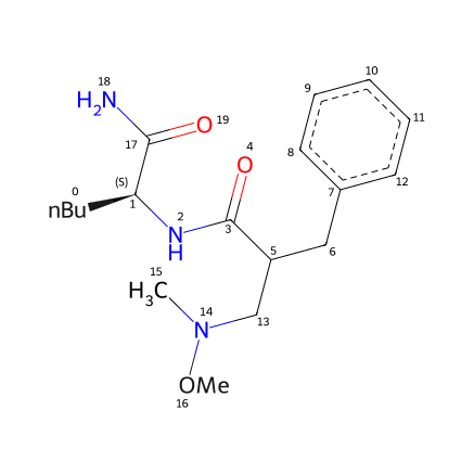 CCCC[C@H](NC(=O)C(Cc1ccccc1)CN(C)OC)C(N)=O